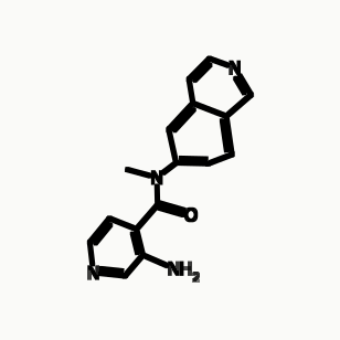 CN(C(=O)c1ccncc1N)c1ccc2cnccc2c1